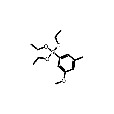 CCO[Si](OCC)(OCC)c1cc(C)cc(OC)c1